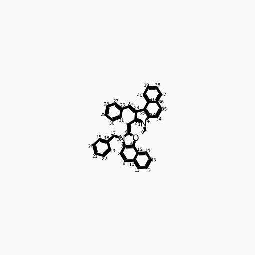 C[N+]1=C(/C=C2\Oc3c(ccc4ccccc34)N2Cc2ccccc2)/C(=C\c2ccccc2)c2c1ccc1ccccc21